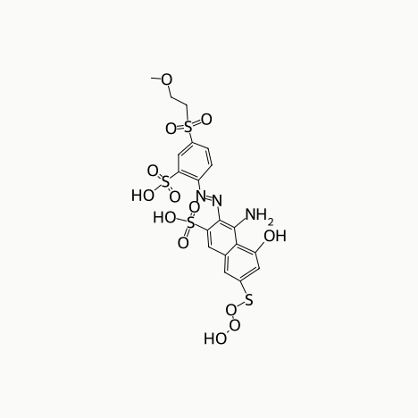 COCCS(=O)(=O)c1ccc(N=Nc2c(S(=O)(=O)O)cc3cc(SOOO)cc(O)c3c2N)c(S(=O)(=O)O)c1